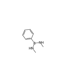 CNB(NC)c1ccccc1